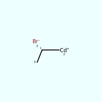 C[CH2][Cd+].[Br-]